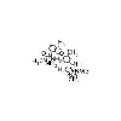 CN/C(=C(/C)C(=N)c1ccc(OCc2c(C)cccc2N(N)C(=O)N(C)N)c(C)c1)S(C)(=O)=O